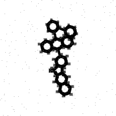 c1ccc(-c2ccccc2-c2c3ccccc3c(-c3ccc4c(c3)[nH]c3cc5ccccc5cc34)c3ccccc23)cc1